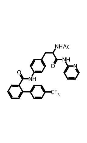 CC(=O)NC(Cc1ccc(NC(=O)c2ccccc2-c2ccc(C(F)(F)F)cc2)cc1)C(=O)Nc1ccccn1